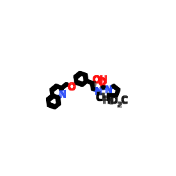 CN(C[C@H](O)c1cccc(OCc2ccc3ccccc3n2)c1)C(=O)N1CCC[C@H]1C(=O)O